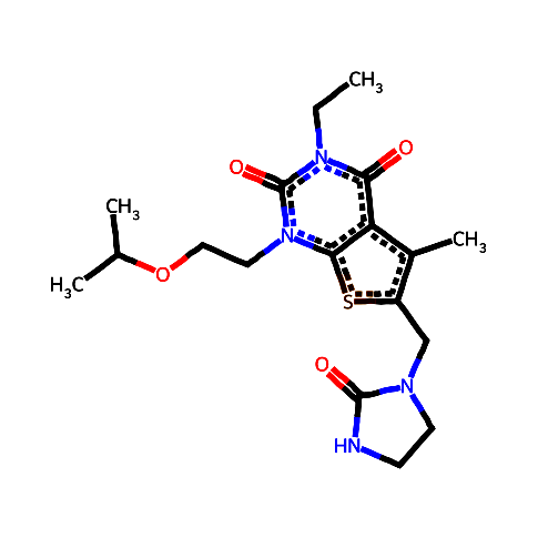 CCn1c(=O)c2c(C)c(CN3CCNC3=O)sc2n(CCOC(C)C)c1=O